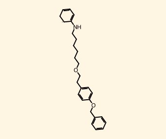 [CH]1CC=CC=C1NCCCCCCOCCc1ccc(OCc2ccccc2)cc1